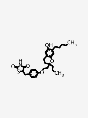 CCCCCc1cc2c(cc1O)CCC(CCC)(CCOc1ccc(CC3SC(=O)NC3=O)cc1)O2